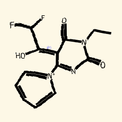 CCN1C(=O)N=C([n+]2ccccc2)/C(=C(\O)C(F)F)C1=O